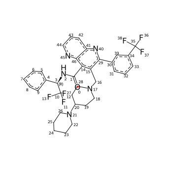 O=C(N[C@H](c1ccccc1)C(F)(F)F)c1c(CN2CCC(N3CCCCC3)CC2)c(-c2cccc(C(F)(F)F)c2)nc2cccnc12